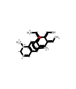 C/C=c1/cc2c(c/c1=C/S)C1C(/C=C\N)=C(C)C2C2=C1N(C)CN=C2